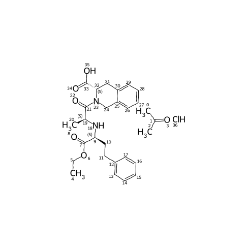 CC(C)=O.CCOC(=O)[C@H](CCc1ccccc1)N[C@@H](C)C(=O)N1Cc2ccccc2C[C@H]1C(=O)O.Cl